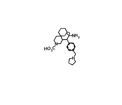 NC(=O)C(c1ccc(CN2CCCC2)cc1)C1CN(C(=O)O)CCC12CCCCC2